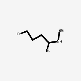 CCC(C)NC(CC)CCCC(C)C